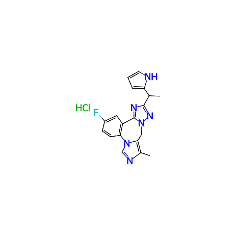 Cc1ncn2c1Cn1nc(C(C)c3ccc[nH]3)nc1-c1cc(F)ccc1-2.Cl